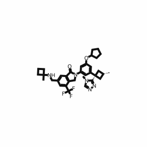 Cn1cnnc1[C@]1(c2cc(OC3CCCC3)cc(N3Cc4c(cc(CNC5(C)CCC5)cc4C(F)(F)F)C3=O)c2)C[C@H](C)C1